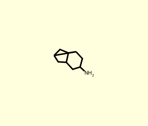 NC1CC2CC3CC2C3C1